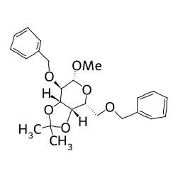 CO[C@@H]1O[C@H](COCc2ccccc2)[C@@H]2OC(C)(C)O[C@@H]2[C@H]1OCc1ccccc1